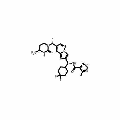 Cc1nonc1C(=O)N[C@H](c1cn2ncc([C@@H](C)N3CCC(C(F)(F)F)NC3=O)cc2n1)C1CCC(F)(F)CC1